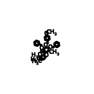 COc1ccc(COC2C(OCc3ccccc3)[C@@H](C)C3OC4(CC5CCC4(C)C5(C)C)O[C@H]3[C@H]2OCc2ccccc2)cc1